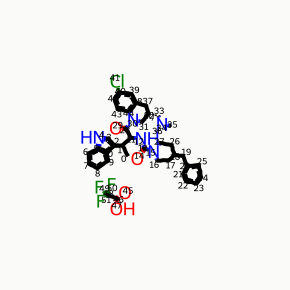 CC(c1c[nH]c2ccccc12)C(NC(=O)N1CCC(Cc2ccccc2)CC1)C(=O)N1C[C@@H](CN(C)C)Cc2cc(Cl)ccc21.O=C(O)C(F)(F)F